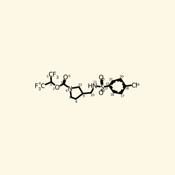 O=C(OC(C(F)(F)F)C(F)(F)F)N1CCC(CNS(=O)(=O)c2ccc(Cl)cc2)C1